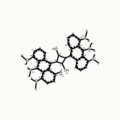 CN(C)c1cccc2c(C3C(O)C(c4c5cccc(N(C)C)c5c(N(C)C)c5c(N(C)C)ccc(N)c45)C3O)c3cccc(N(C)C)c3c(N(C)C)c12